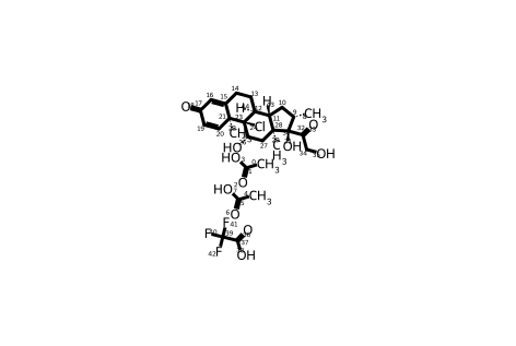 CC(=O)O.CC(=O)O.C[C@H]1C[C@H]2[C@@H]3CCC4=CC(=O)C=C[C@]4(C)[C@@]3(Cl)[C@@H](O)C[C@]2(C)[C@@]1(O)C(=O)CO.O=C(O)C(F)(F)F